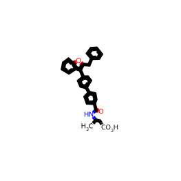 CC(CC(=O)O)NC(=O)c1ccc(-c2ccc(-c3c(Cc4ccccc4)oc4ccccc34)cc2)cc1